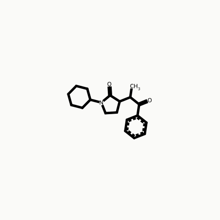 CC(C(=O)c1ccccc1)C1CCN(C2CCCCC2)C1=O